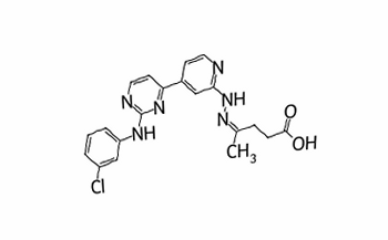 CC(CCC(=O)O)=NNc1cc(-c2ccnc(Nc3cccc(Cl)c3)n2)ccn1